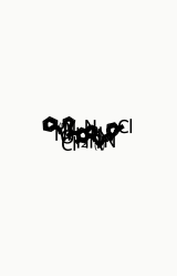 C[C@@H](Nc1ncnc2cc(C(=O)N3CCC[C@@H]3C(N)c3ccccc3)c(Cl)cc12)c1nc2cc(Cl)ccc2[nH]1